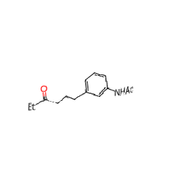 CCC(=O)CCCc1cccc(NC(C)=O)c1